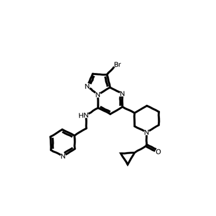 O=C(C1CC1)N1CCCC(c2cc(NCc3cccnc3)n3ncc(Br)c3n2)C1